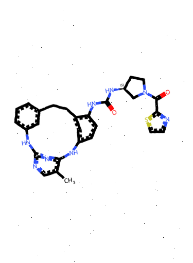 Cc1cnc2nc1Nc1ccc(NC(=O)N[C@H]3CCN(C(=O)c4nccs4)C3)c(c1)CCc1cccc(c1)N2